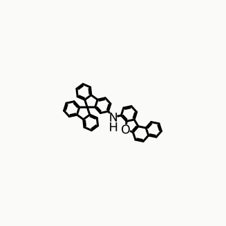 c1ccc2c(c1)-c1ccccc1C21c2ccccc2-c2ccc(Nc3cccc4c3oc3ccc5ccccc5c34)cc21